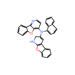 C1=C(N(c2cccc3ccccc23)c2ccnc3c2oc2ccccc23)CNc2oc3ccccc3c21